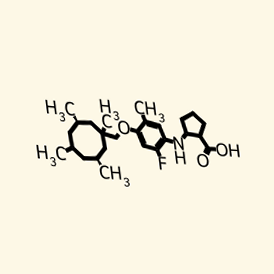 Cc1cc(NC2CCCC2C(=O)O)c(F)cc1OCC1(C)C[C@H](C)CC(C)C[C@H](C)C1